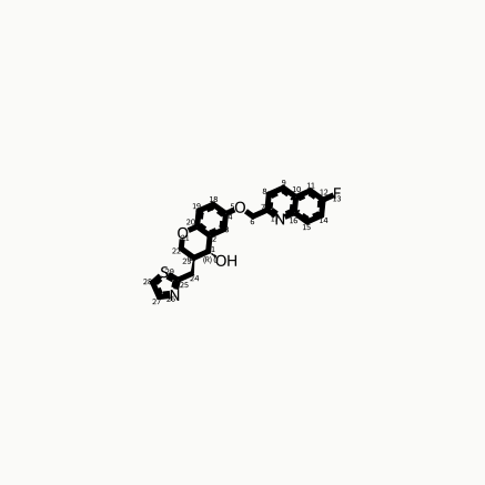 O[C@H]1c2cc(OCc3ccc4cc(F)ccc4n3)ccc2OC[C@@H]1Cc1nccs1